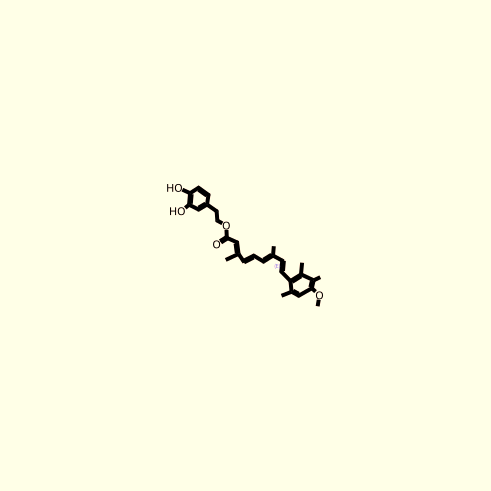 COc1cc(C)c(/C=C/C(C)=CC=CC(C)=CC(=O)OCCc2ccc(O)c(O)c2)c(C)c1C